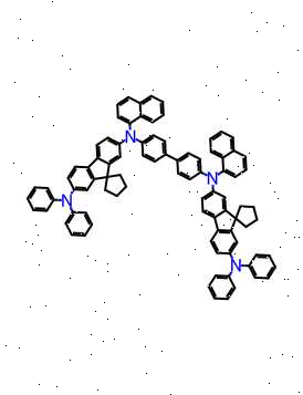 c1ccc(N(c2ccccc2)c2ccc3c(c2)C2(CCCC2)c2cc(N(c4ccc(-c5ccc(N(c6ccc7c(c6)C6(CCCC6)c6cc(N(c8ccccc8)c8ccccc8)ccc6-7)c6cccc7ccccc67)cc5)cc4)c4cccc5ccccc45)ccc2-3)cc1